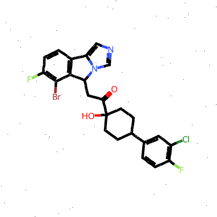 O=C(CC1c2c(ccc(F)c2Br)-c2cncn21)C1(O)CCC(c2ccc(F)c(Cl)c2)CC1